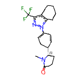 CN1C(=O)CC[C@H]1C1C=CC(n2nc(C(F)(F)F)c3c2CCCC3)=CC1